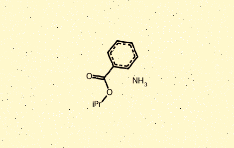 CC(C)OC(=O)c1ccccc1.N